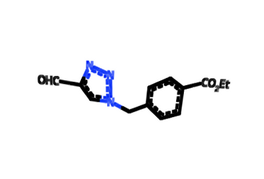 CCOC(=O)c1ccc(Cn2cc(C=O)nn2)cc1